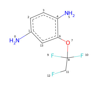 Nc1ccc(N)c(OC(F)(F)CF)c1